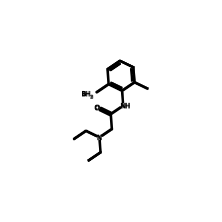 B.CCN(CC)CC(=O)Nc1c(C)cccc1C